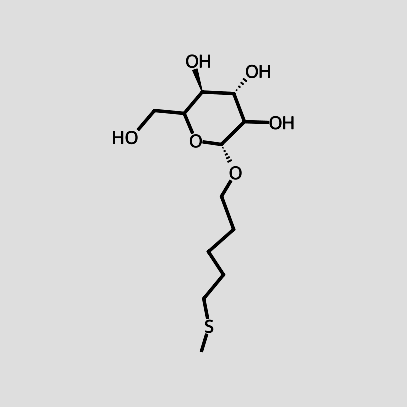 CSCCCCCO[C@@H]1OC(CO)[C@@H](O)[C@H](O)C1O